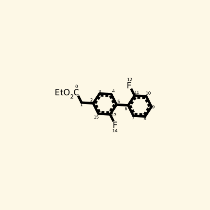 CCOC(=O)Cc1ccc(-c2ccccc2F)c(F)c1